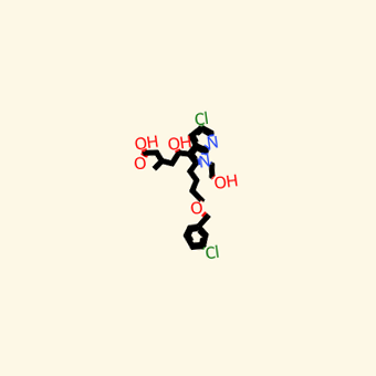 CC(CC(=O)O)CC(O)c1c(CCCCOCc2cccc(Cl)c2)n(CCO)c2ncc(Cl)cc12